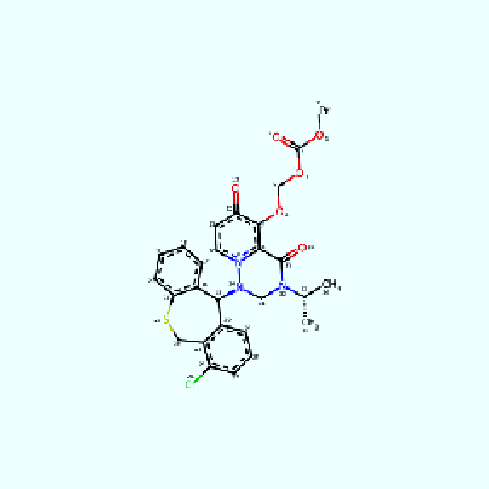 CC(C)OC(=O)OCOc1c2n(ccc1=O)N([C@@H]1c3ccccc3SCc3c(Cl)cccc31)CN([C@H](C)C(F)(F)F)C2=O